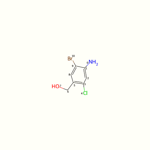 Nc1cc(Cl)c(CO)cc1Br